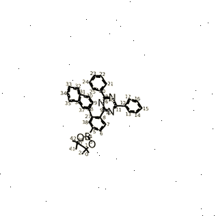 CC1(C)OB(c2ccc(-c3nc(-c4ccccc4)nc(-c4ccccc4)n3)c(-c3ccc4ccccc4c3)c2)OC1(C)C